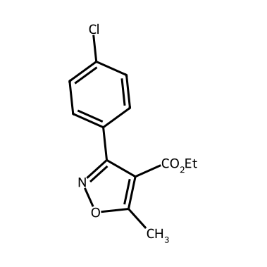 CCOC(=O)c1c(-c2ccc(Cl)cc2)noc1C